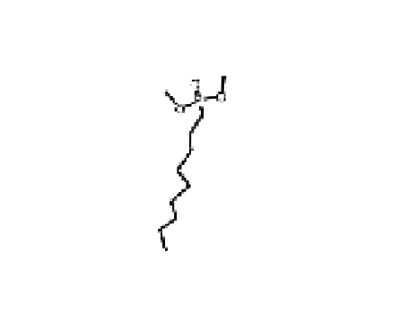 CCCCCCCCCP(=O)(OC)OC